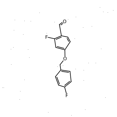 O=Cc1ccc(OCc2ccc(F)cc2)cc1F